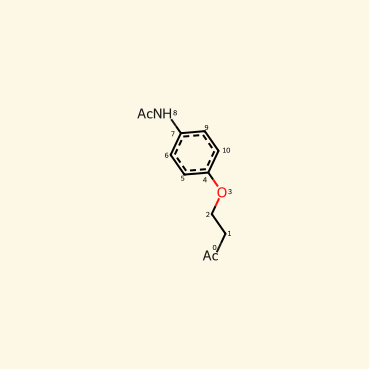 CC(=O)CCOc1ccc(NC(C)=O)cc1